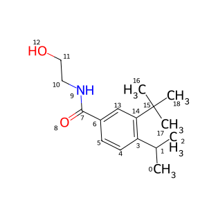 CC(C)c1ccc(C(=O)NCCO)cc1C(C)(C)C